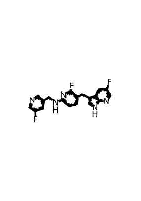 Fc1cncc(CNc2ccc(Cc3c[nH]c4ncc(F)cc34)c(F)n2)c1